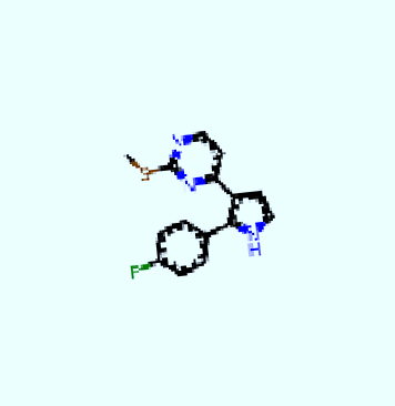 CSc1nccc(-c2cc[nH]c2-c2ccc(F)cc2)n1